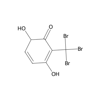 O=C1C(C(Br)(Br)Br)=C(O)C=CC1O